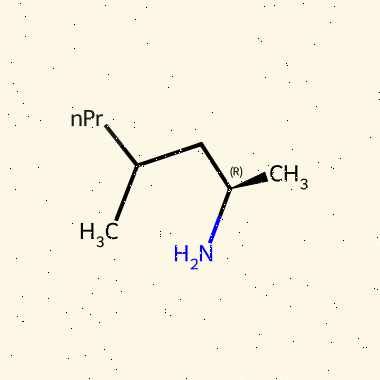 CCCC(C)C[C@@H](C)N